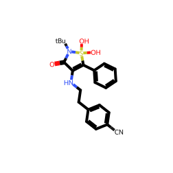 CC(C)(C)N1C(=O)C(NCCc2ccc(C#N)cc2)=C(c2ccccc2)S1(O)O